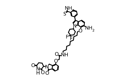 NC(=S)c1cccc(-c2cn(C3CCC(F)(F)CC3)c3c(OCCCCCCCCCNC(=O)COc4cccc5c4CN(C4CCC(=O)NC4=O)C5=O)c(N)ccc23)c1